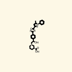 Cc1cc(-c2nc(-c3ccc(C(O)CN4CCC[C@H](C(=O)O)C4)cc3)no2)nn1-c1ccccc1